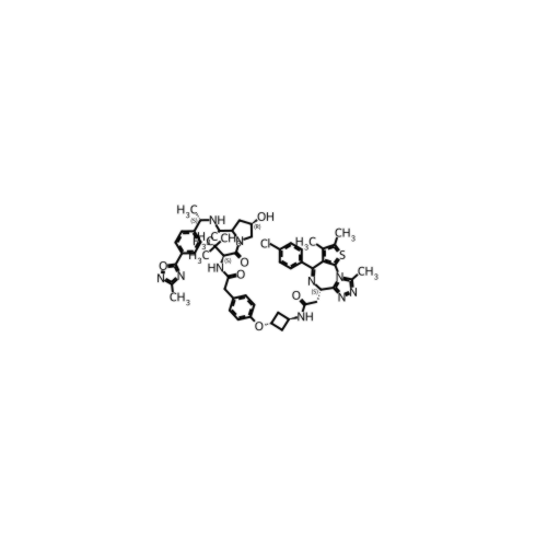 Cc1noc(-c2ccc([C@H](C)NC(C)C3C[C@@H](O)CN3C(=O)[C@@H](NC(=O)Cc3ccc(O[C@H]4C[C@H](NC(=O)C[C@@H]5N=C(c6ccc(Cl)cc6)c6c(sc(C)c6C)-n6c(C)nnc65)C4)cc3)C(C)(C)C)cc2)n1